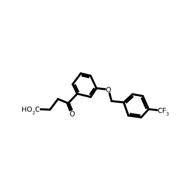 O=C(O)CCC(=O)c1cccc(OCc2ccc(C(F)(F)F)cc2)c1